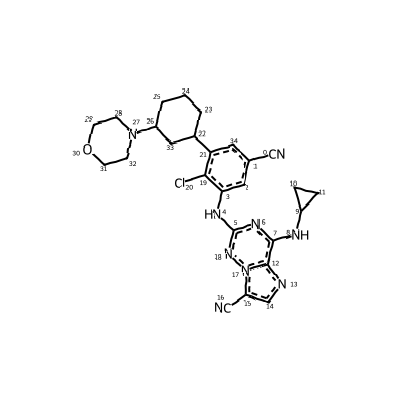 N#Cc1cc(Nc2nc(NC3CC3)c3ncc(C#N)n3n2)c(Cl)c(C2CCCC(N3CCOCC3)C2)c1